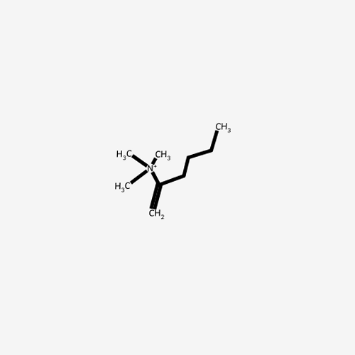 C=C(CCCC)[N+](C)(C)C